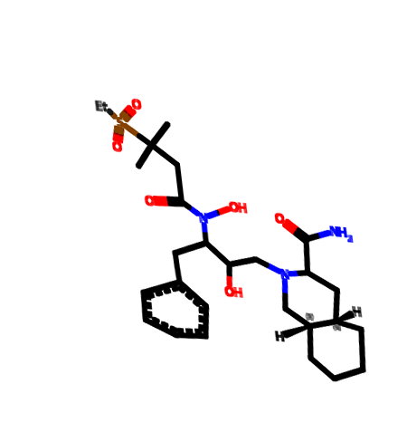 CCS(=O)(=O)C(C)(C)CC(=O)N(O)C(Cc1ccccc1)C(O)CN1C[C@H]2CCCC[C@H]2CC1C(N)=O